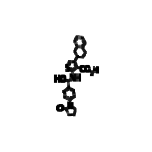 O=C(O)c1c(C2CCc3ccccc3C2)csc1NC(O)c1ccc(N2CCCC2=O)cc1